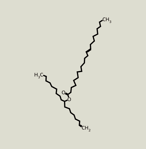 C=CCCCCCCC(CCCCCCCCC)OC(=O)CCCCCCCCCCCC=CCCCCCCCC